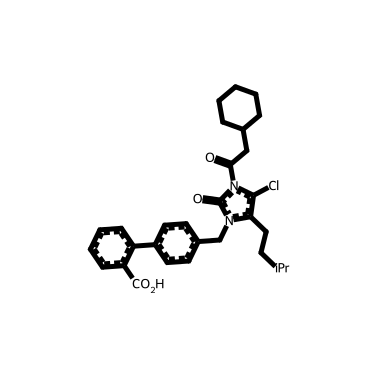 CC(C)CCc1c(Cl)n(C(=O)CC2CCCCC2)c(=O)n1Cc1ccc(-c2ccccc2C(=O)O)cc1